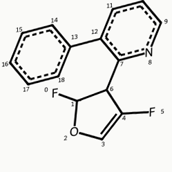 F[C]1OC=C(F)C1c1ncccc1-c1ccccc1